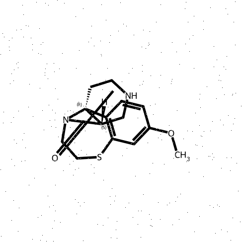 COc1ccc2c(c1)SCCN1C(=O)C[C@H]3CNCC[C@]231